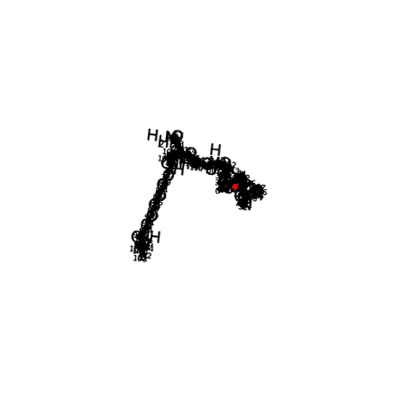 CC[C@H](C)[C@@H]([C@@H](CC(=O)N1CCC[C@H]1C(OC)[C@@H](C)C(=O)N[C@@H](Cc1ccccc1)c1nccs1)OC)N(C)C(=O)[C@@H](NC(=O)C(C)(C)NC(=O)OCc1ccc(NC(=O)[C@H](CCCNC(N)=O)NC(=O)[C@@H](NC(=O)CCOCCOCCOCCOCCOCCOCCNC(=O)c2cnc(SC)cn2)C(C)C)cc1)C(C)C